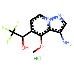 COc1c(C(O)C(F)(F)F)ccn2ncc(N)c12.Cl